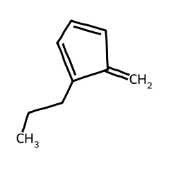 C=C1C=CC=C1CCC